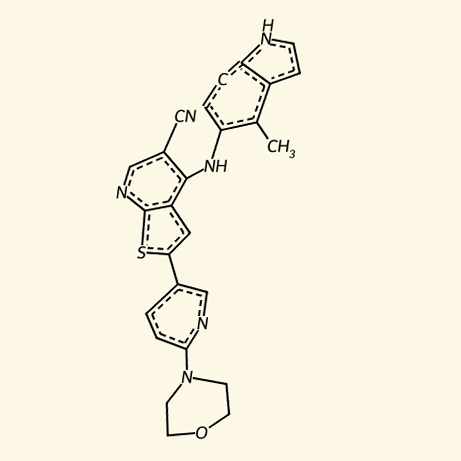 Cc1c(Nc2c(C#N)cnc3sc(-c4ccc(N5CCOCC5)nc4)cc23)ccc2[nH]ccc12